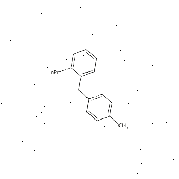 CCCc1ccccc1Cc1ccc(C)cc1